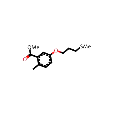 COC(=O)c1cc(OCCCSC)ccc1C